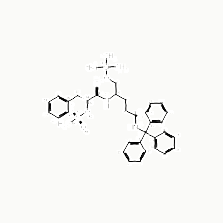 CC(C)(C)[Si](C)(C)OCC(CCC(=O)NC(c1ccccc1)(c1ccccc1)c1ccccc1)NC(=O)[C@H](Cc1ccccc1)OS(C)(=O)=O